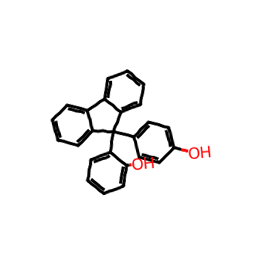 Oc1ccc(C2(c3ccccc3O)c3ccccc3-c3ccccc32)cc1